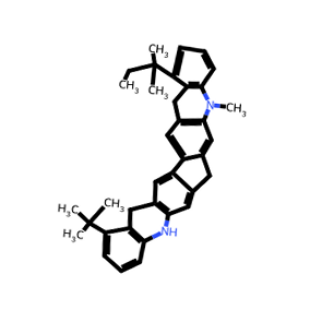 CCC(C)(C)c1cccc2c1Cc1cc3c(cc1N2C)Cc1cc2c(cc1-3)Cc1c(cccc1C(C)(C)C)N2